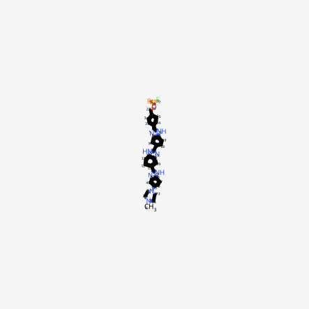 CN1CCN(c2ccc3[nH]c(-c4ccc5[nH]c(-c6ccc7[nH]c(-c8ccc(COP(F)#P)cc8)nc7c6)nc5c4)nc3c2)CC1